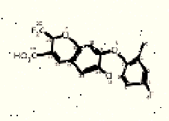 Cc1cc(F)ccc1Oc1cc2c(cc1Cl)C=C(C(=O)O)C(C(F)(F)F)O2